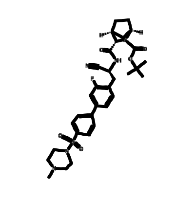 CN1CCN(S(=O)(=O)c2ccc(-c3ccc(C[C@@H](C#N)NC(=O)[C@@H]4[C@H]5CC[C@H](C5)N4C(=O)OC(C)(C)C)c(F)c3)cc2)CC1